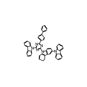 C1=Cc2c(c3cc(-n4c5ccccc5c5ccccc54)ccc3n2-c2nc(-c3ccc(-c4ccccc4)cc3)nc(-n3c4ccccc4c4ccccc43)n2)CC1